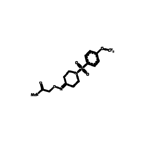 CNC(=O)CON=C1CCN(S(=O)(=O)c2ccc(OC(F)(F)F)cc2)CC1